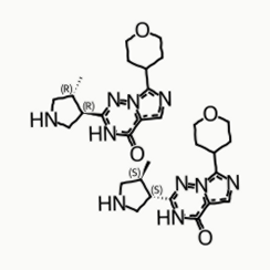 C[C@@H]1CNC[C@H]1c1nn2c(C3CCOCC3)ncc2c(=O)[nH]1.C[C@H]1CNC[C@@H]1c1nn2c(C3CCOCC3)ncc2c(=O)[nH]1